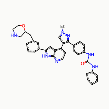 CCn1cc(-c2ccnc3[nH]c(-c4cccc(CC5CNCCO5)c4)cc23)c(-c2ccc(NC(=O)Nc3ccccc3)cc2)n1